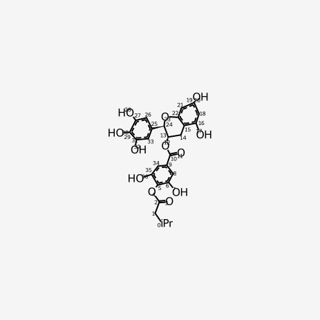 CC(C)CC(=O)Oc1c(O)cc(C(=O)O[C@@H]2Cc3c(O)cc(O)cc3O[C@@H]2c2cc(O)c(O)c(O)c2)cc1O